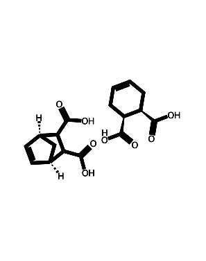 O=C(O)C1C(C(=O)O)[C@H]2C=C[C@@H]1C2.O=C(O)[C@H]1CC=CC[C@H]1C(=O)O